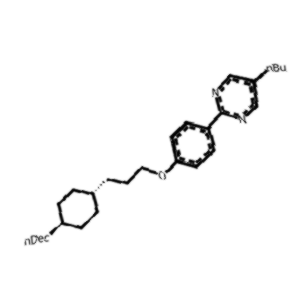 CCCCCCCCCC[C@H]1CC[C@H](CCCOc2ccc(-c3ncc(CCCC)cn3)cc2)CC1